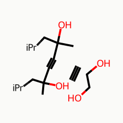 C#C.CC(C)CC(C)(O)C#CC(C)(O)CC(C)C.OCCO